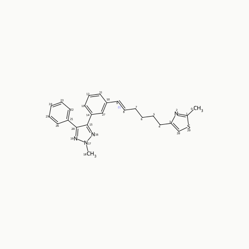 Cc1nc(CCCC/C=C/c2cccc(-c3nn(C)nc3-c3ccccc3)c2)cs1